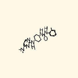 Cc1ccccc1NC(=O)N[C@H]1CC[C@@H](Nc2nccc(N(C)C)n2)CC1